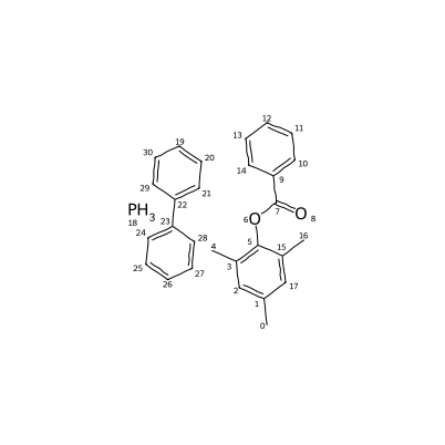 Cc1cc(C)c(OC(=O)c2ccccc2)c(C)c1.P.c1ccc(-c2ccccc2)cc1